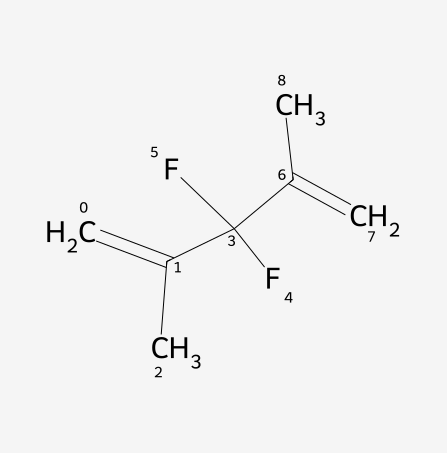 C=C(C)C(F)(F)C(=C)C